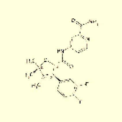 C[C@H]1[C@H](c2ccc(F)c(F)c2)[C@@H](C(=O)Nc2ccnc(C(N)=O)c2)O[C@]1(C)C(F)(F)F